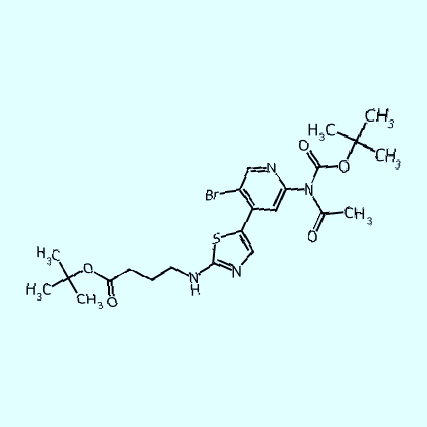 CC(=O)N(C(=O)OC(C)(C)C)c1cc(-c2cnc(NCCCC(=O)OC(C)(C)C)s2)c(Br)cn1